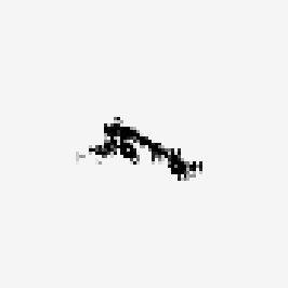 CCNC(=O)C[C@@H]1N=C(c2ccc(Cl)cc2)c2cc(OCCOCCOCCNC(=O)c3ccc(O)c(O)c3)ccc2-n2c(C)nnc21